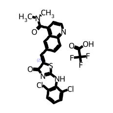 CN(C)C(=O)c1ccnc2ccc(/C=C3\SC(Nc4c(Cl)cccc4Cl)=NC3=O)cc12.O=C(O)C(F)(F)F